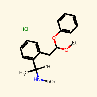 CCCCCCCCNC(C)(C)c1ccccc1CC(OCC)Oc1ccccc1.Cl